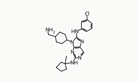 CC1(Nc2ncc3nc(Nc4cccc(Cl)c4)n(C4CCC(CN)CC4)c3n2)CCCC1